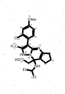 CCC(CC)NC1(CS(=O)(=O)O)C2=C(CCC2)N=C2C(c3ccc(OC)cc3Cl)=C(C)NN21